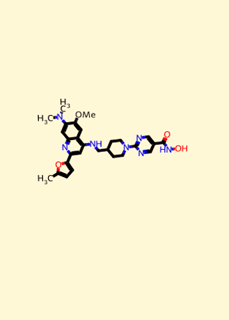 COc1cc2c(NCC3CCN(c4ncc(C(=O)NO)cn4)CC3)cc(-c3ccc(C)o3)nc2cc1N(C)C